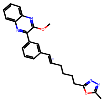 COc1nc2ccccc2nc1-c1cccc(/C=C/CCCCc2nnc(C)o2)c1